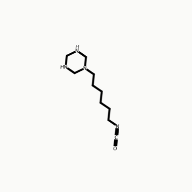 O=C=NCCCCCCN1CNCNC1